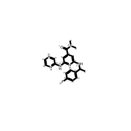 CC(Nc1cc(C(=O)N(C)C)cc(Nc2cnccn2)n1)c1ccc(F)cc1